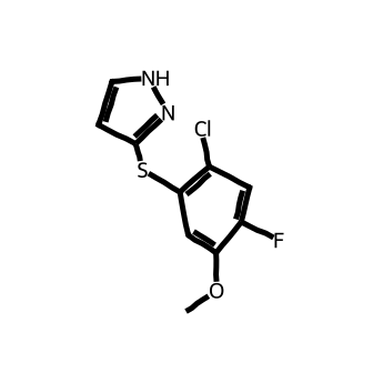 COc1cc(Sc2cc[nH]n2)c(Cl)cc1F